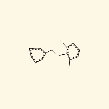 Nc1cccc(F)c1OCc1ccccc1